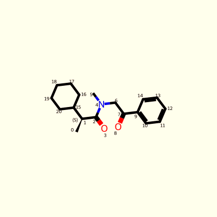 C[C@H](C(=O)N(C)CC(=O)c1ccccc1)C1CCCCC1